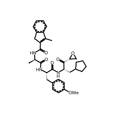 COc1ccc(C[C@H](NC(=O)[C@@H](C)NC(=O)C2=C(C)c3ccccc3C2)C(=O)N[C@@H](CC2CCCC2)C(=O)[C@H]2CO2)cc1